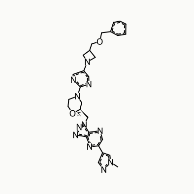 Cn1cc(-c2cnc3c(nnn3C[C@@H]3CN(c4ncc(N5CC(COCc6ccccc6)C5)cn4)CCO3)n2)cn1